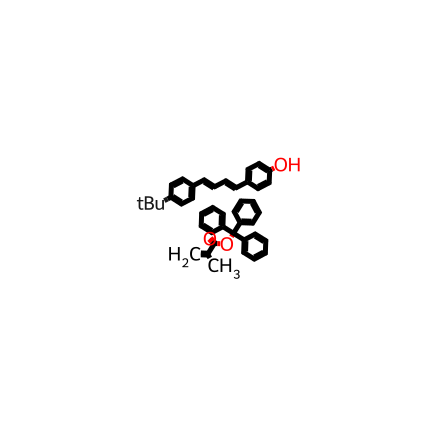 C=C(C)C(=O)OC(c1ccccc1)(c1ccccc1)c1ccccc1.CC(C)(C)c1ccc(C=CC=Cc2ccc(O)cc2)cc1